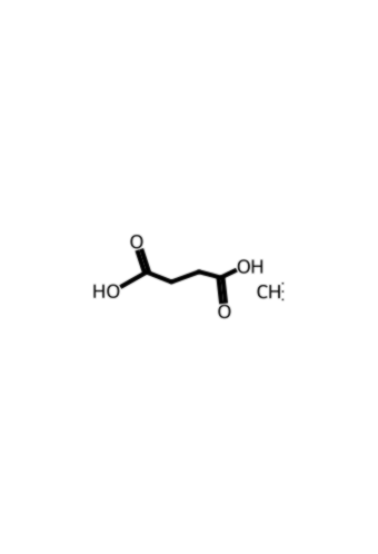 O=C(O)CCC(=O)O.[CH]